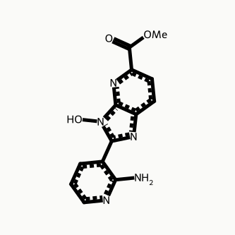 COC(=O)c1ccc2nc(-c3cccnc3N)n(O)c2n1